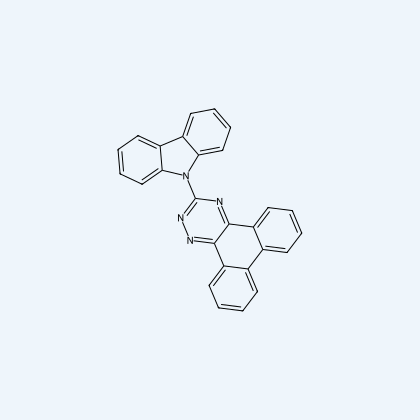 c1ccc2c(c1)c1ccccc1c1nc(-n3c4ccccc4c4ccccc43)nnc21